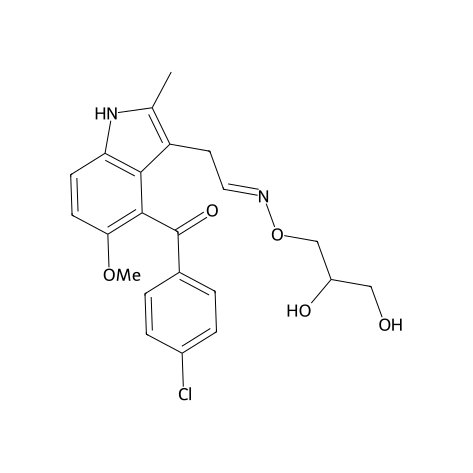 COc1ccc2[nH]c(C)c(CC=NOCC(O)CO)c2c1C(=O)c1ccc(Cl)cc1